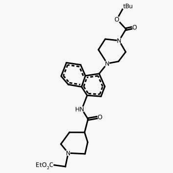 CCOC(=O)CN1CCC(C(=O)Nc2ccc(N3CCN(C(=O)OC(C)(C)C)CC3)c3ccccc23)CC1